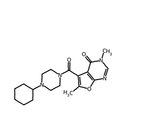 Cc1oc2ncn(C)c(=O)c2c1C(=O)N1CCN(C2CCCCC2)CC1